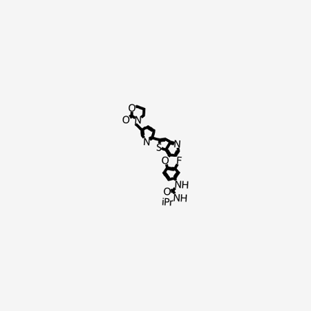 CC(C)NC(=O)Nc1ccc(Oc2ccnc3cc(-c4ccc(CN5CCCOC5=O)cn4)sc23)c(F)c1